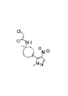 Cn1ncc([N+](=O)[O-])c1N1CCCC(C)(NC(=O)CCl)CC1